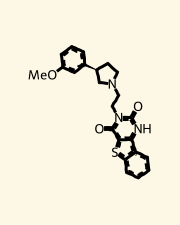 COc1cccc([C@H]2CCN(CCn3c(=O)[nH]c4c(sc5ccccc54)c3=O)C2)c1